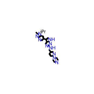 Cc1nc2ncc(-c3c[nH]c4nc(NCc5ccc(N6CCN(C)CC6)nc5)ncc34)cc2n1C(C)C